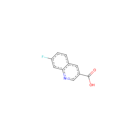 O=C(O)c1cnc2cc(F)ccc2c1